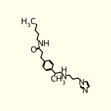 CCCCCNC(=O)CCc1ccc(C(C)CNCCCn2ccnc2)cc1